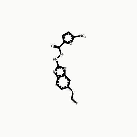 O=C(NNc1nc2ccc(OCF)cc2s1)c1ccc([N+](=O)[O-])o1